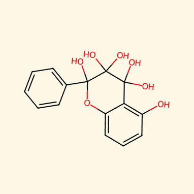 Oc1cccc2c1C(O)(O)C(O)(O)C(O)(c1ccccc1)O2